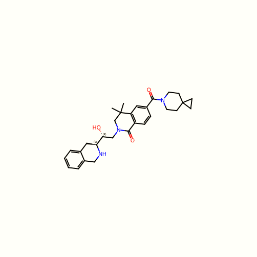 CC1(C)CN(C[C@@H](O)[C@@H]2Cc3ccccc3CN2)C(=O)c2ccc(C(=O)N3CCC4(CC3)CC4)cc21